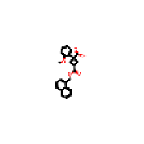 COc1ccccc1C1(C(=O)O)CC(C(=O)OCc2cccc3ccccc23)C1